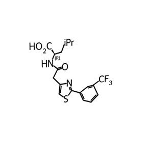 CC(C)C[C@@H](NC(=O)Cc1csc(-c2cccc(C(F)(F)F)c2)n1)C(=O)O